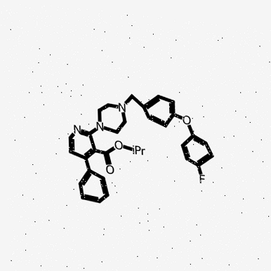 CC(C)OC(=O)c1c(-c2ccccc2)ccnc1N1CCN(Cc2ccc(Oc3ccc(F)cc3)cc2)CC1